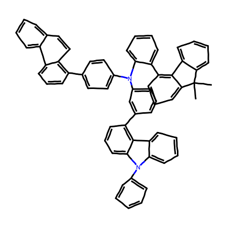 CC1(C)c2ccccc2-c2c(-c3ccccc3N(c3ccc(-c4cccc5c4ccc4ccccc45)cc3)c3cccc(-c4cccc5c4c4ccccc4n5-c4ccccc4)c3)cccc21